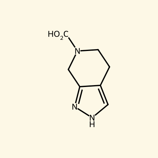 O=C(O)N1CCc2c[nH]nc2C1